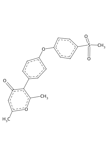 Cc1cc(=O)c(-c2ccc(Oc3ccc(S(C)(=O)=O)cc3)cc2)c(C)o1